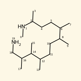 CNC(C)CCC(C)C(C)CCC(C)C(C)C(C)CN